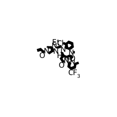 C=CC(=O)N1Cc2nc(CN3C[C@H]4CC(=O)N(c5cc(C(F)(F)F)cc(C)n5)[C@@H]4C(=O)N(C)c4cccc(Cl)c43)n(CC)c2C1